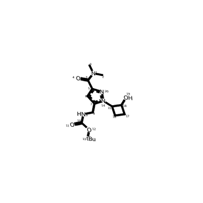 CN(C)C(=O)c1cc(CNC(=O)OC(C)(C)C)n(C2CCC2O)n1